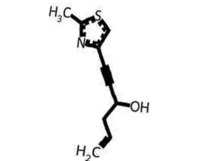 C=CCC(O)C#Cc1csc(C)n1